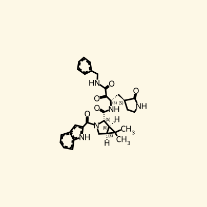 CC1(C)[C@@H]2[C@@H](C(=O)N[C@@H](C[C@@H]3CCNC3=O)C(=O)C(=O)NCc3ccccc3)N(C(=O)c3cc4ccccc4[nH]3)C[C@@H]21